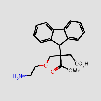 COC(=O)C(COCCN)(CC(=O)O)C1c2ccccc2-c2ccccc21